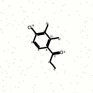 CCC(=O)c1ccc(Cl)c(C)c1C